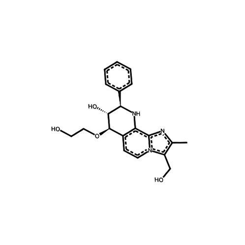 Cc1nc2c3c(ccn2c1CO)[C@@H](OCCO)[C@H](O)[C@@H](c1ccccc1)N3